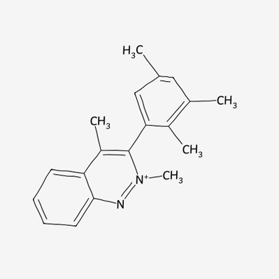 Cc1cc(C)c(C)c(-c2c(C)c3ccccc3n[n+]2C)c1